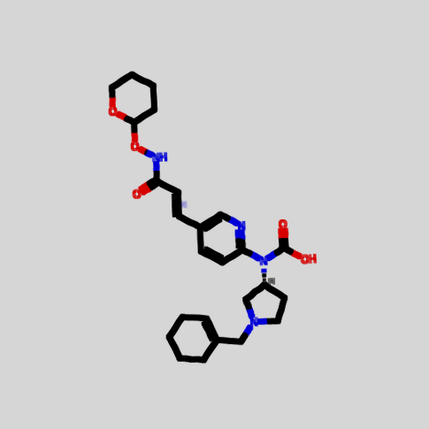 O=C(/C=C/c1ccc(N(C(=O)O)[C@@H]2CCN(CC3=CCCCC3)C2)nc1)NOC1CCCCO1